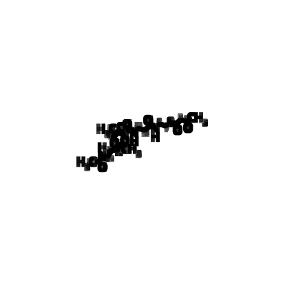 CC(=O)CC(=O)SCCNC(=O)CCNC(=O)[C@@H]1OC(C)(CCCNC(C)=O)OCC1(C)C